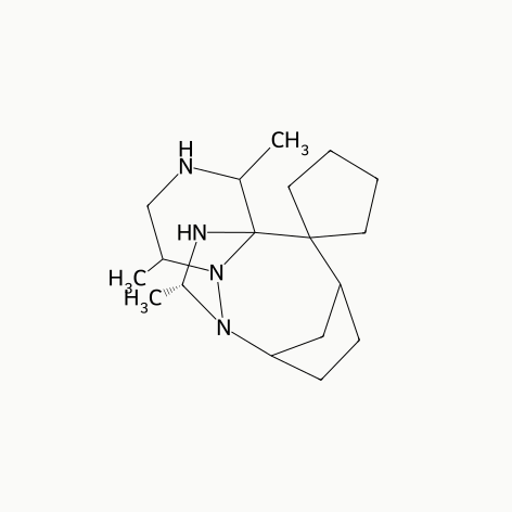 CC1CNC(C)C23N[C@@H](C)N(C4CCC(C4)C24CCCC4)N13